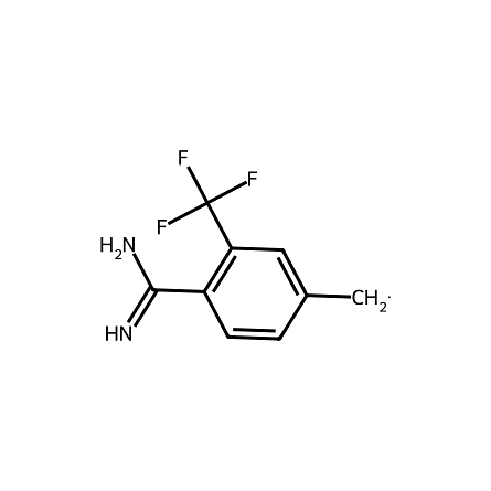 [CH2]c1ccc(C(=N)N)c(C(F)(F)F)c1